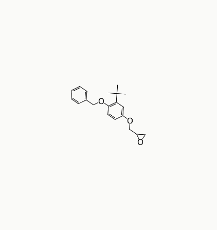 CC(C)(C)c1cc(OCC2CO2)ccc1OCc1ccccc1